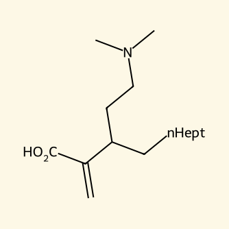 C=C(C(=O)O)C(CCCCCCCC)CCN(C)C